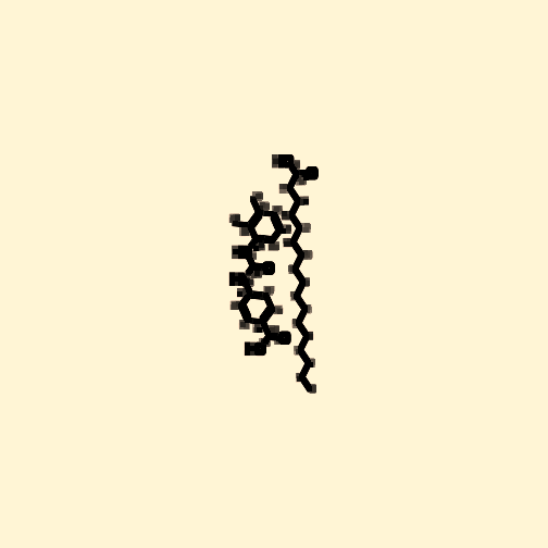 CCCCCCCCCCCCCCCCC(=O)O.Cc1cccc(NC(=O)Nc2ccc(C(=O)O)cc2)c1C